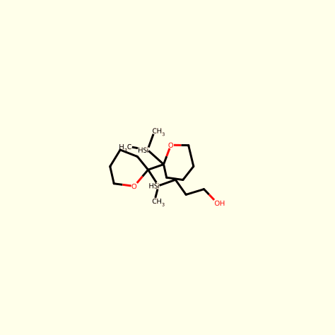 C[SiH](C)C1(C2([SiH](C)CCCO)CCCCO2)CCCCO1